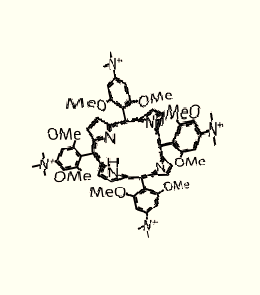 COc1cc([N+](C)(C)C)cc(OC)c1-c1c2nc(c(-c3c(OC)cc([N+](C)(C)C)cc3OC)c3ccc([nH]3)c(-c3c(OC)cc([N+](C)(C)C)cc3OC)c3nc(c(-c4c(OC)cc([N+](C)(C)C)cc4OC)c4ccc1[nH]4)C=C3)C=C2